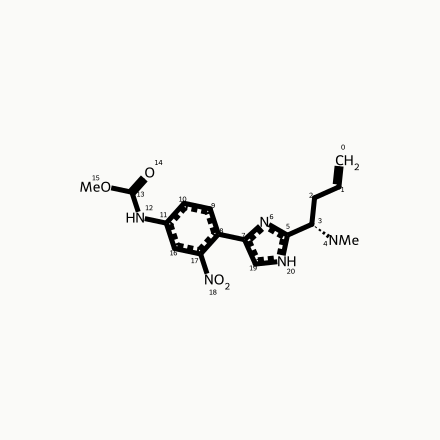 C=CC[C@H](NC)c1nc(-c2ccc(NC(=O)OC)cc2[N+](=O)[O-])c[nH]1